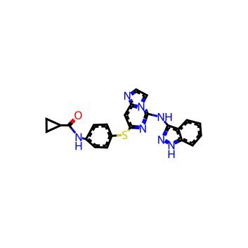 O=C(Nc1ccc(Sc2cc3nccn3c(Nc3n[nH]c4ccccc34)n2)cc1)C1CC1